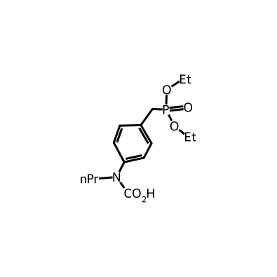 CCCN(C(=O)O)c1ccc(CP(=O)(OCC)OCC)cc1